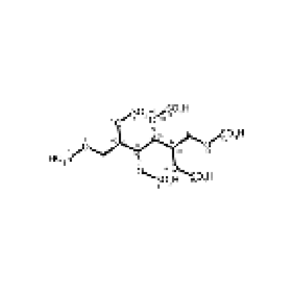 O=S(=O)(O)OC[C@@H](OS(=O)(=O)O)[C@@H](OS(=O)(=O)O)[C@H](OS(=O)(=O)O)[C@@H](COS(=O)(=O)O)OS(=O)(=O)O